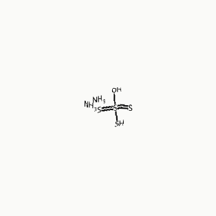 N.N.OS(=S)(=S)S